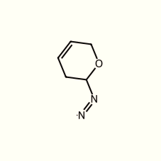 [N]=NC1CC=CCO1